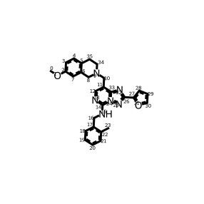 COc1ccc2c(c1)CN(Cc1cnc(NCc3ccccc3C)n3nc(-c4ccco4)nc13)CC2